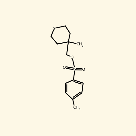 Cc1ccc(S(=O)(=O)OCC2(C)CCSCC2)cc1